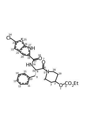 CCOC(=O)OC1CCN(C(=O)[C@H](Cc2ccccc2)NC(=O)c2cc3cc(Cl)sc3[nH]2)CC1